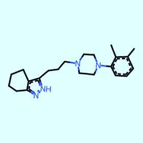 Cc1cccc(N2CCN(CCCc3[nH]nc4c3CCCC4)CC2)c1C